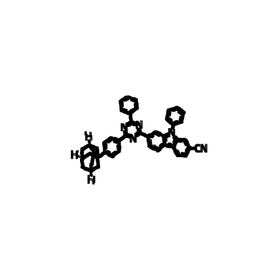 N#Cc1ccc2c3ccc(-c4nc(-c5ccccc5)nc(-c5ccc(C67C[C@H]8C[C@@H](C6)C[C@@H](C7)C8)cc5)n4)cc3n(-c3ccccc3)c2c1